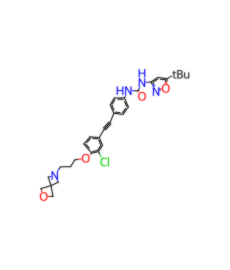 CC(C)(C)c1cc(NC(=O)Nc2ccc(C#Cc3ccc(OCCCN4CC5(COC5)C4)c(Cl)c3)cc2)no1